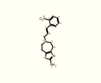 Nc1nc2c(s1)CCN(CC=Cc1ccccc1[N+](=O)[O-])CC2